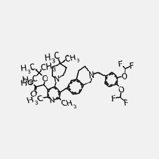 Cc1nc(C)c(C(OC(C)(C)C)C(=O)O)c(N2CCC(C)(C)CC2)c1-c1ccc2c(c1)CCN(Cc1ccc(OC(F)F)c(OC(F)F)c1)C2